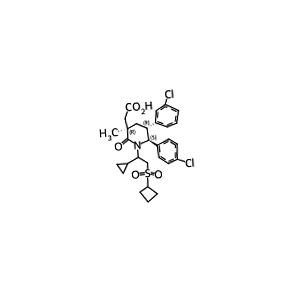 C[C@]1(CC(=O)O)C[C@H](c2cccc(Cl)c2)[C@@H](c2ccc(Cl)cc2)N(C(CS(=O)(=O)C2CCC2)C2CC2)C1=O